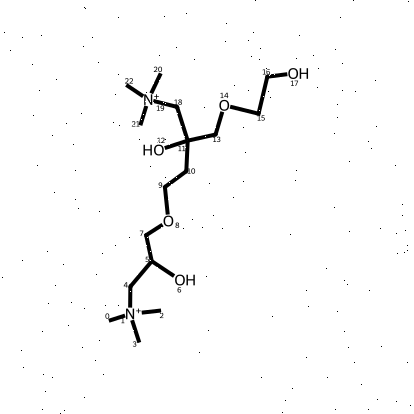 C[N+](C)(C)CC(O)COCCC(O)(COCCO)C[N+](C)(C)C